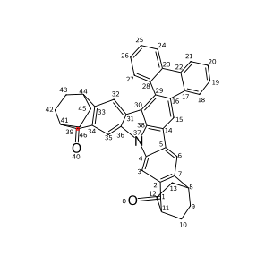 O=C1c2cc3c(cc2C2CCC1CC2)c1cc2c4ccccc4c4ccccc4c2c2c4cc5c(cc4n3c12)C(=O)C1CCC5CC1